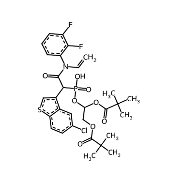 C=CN(C(=O)C(c1csc2ccc(Cl)cc12)P(=O)(O)OC(COC(=O)C(C)(C)C)OC(=O)C(C)(C)C)c1cccc(F)c1F